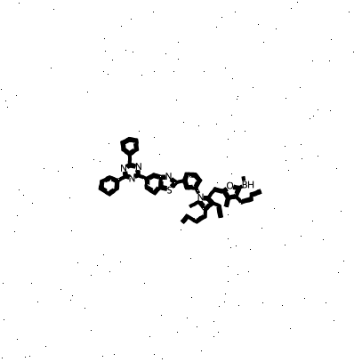 C=C/C=C\c1c(C=C)c(/C=c2/oc(BC)c(/C=C\C=C)c2=C)n(-c2cccc(-c3nc4cc(-c5nc(-c6ccccc6)nc(-c6ccccc6)n5)ccc4s3)c2)c1C